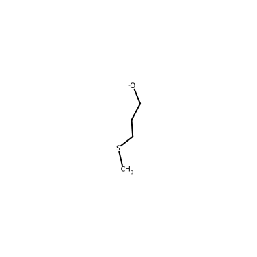 CSCCC[O]